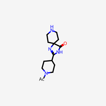 CC(=O)N1CCC(C2=NC3(CCNCC3)C(=O)N2)CC1